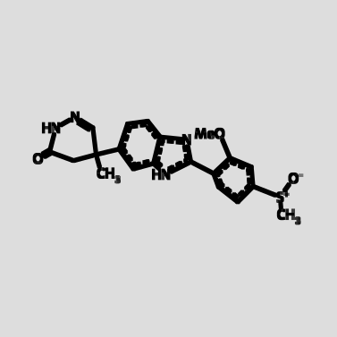 COc1cc([S+](C)[O-])ccc1-c1nc2ccc(C3(C)C=NNC(=O)C3)cc2[nH]1